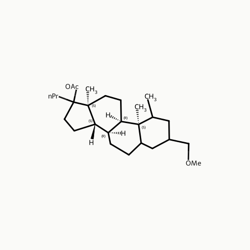 CCCC1(OC(C)=O)CC[C@H]2[C@@H]3CCC4CC(COC)CC(C)[C@]4(C)[C@@H]3CC[C@@]21C